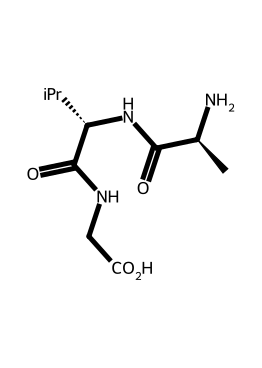 CC(C)[C@H](NC(=O)[C@H](C)N)C(=O)NCC(=O)O